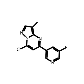 Fc1cncc(-c2cc(Cl)n3ncc(I)c3n2)c1